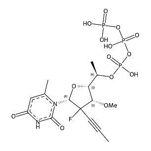 CC#CC1(F)[C@@H](OC)[C@@H]([C@@H](C)OP(=O)(O)OP(=O)(O)OP(=O)(O)O)O[C@H]1n1c(C)cc(=O)[nH]c1=O